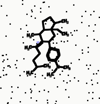 CCC12CC(c3ccc(N(C)C)cc3)/C(=C(/C)CCC(C)C)C(C)C1CCC2C